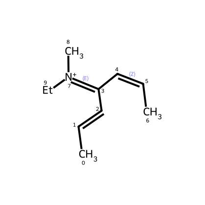 CC=CC(/C=C\C)=[N+](/C)CC